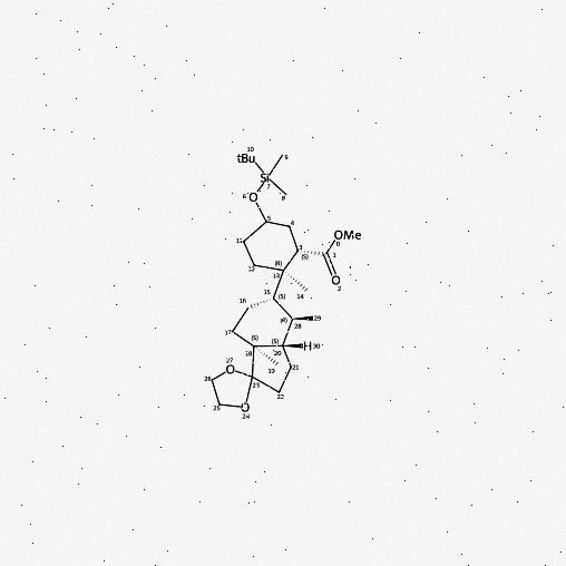 COC(=O)[C@H]1CC(O[Si](C)(C)C(C)(C)C)CC[C@]1(C)[C@H]1CC[C@@]2(C)[C@@H](CCC23OCCO3)[C@@H]1C